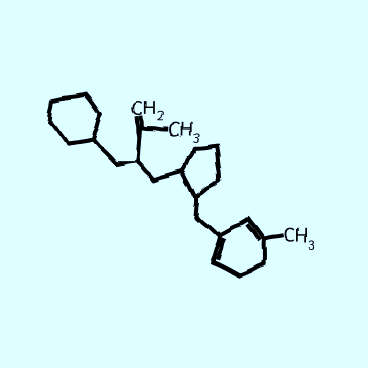 C=C(C)[C@H](CC1CCCCC1)CC1CCCC1CC1=CCCC(C)=C1